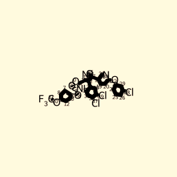 O=C(NS(=O)(=O)c1ccc(OC(F)(F)F)cc1)c1noc(-c2ccc(Oc3cccc(Cl)c3)nc2)c1-c1ccc(Cl)c(Cl)c1